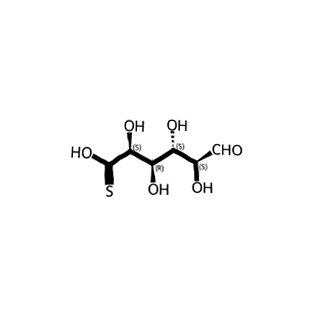 O=C[C@@H](O)[C@@H](O)[C@@H](O)[C@H](O)C(O)=S